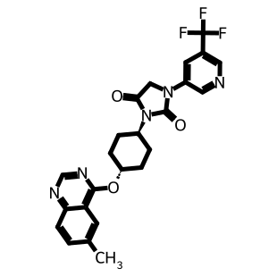 Cc1ccc2ncnc(O[C@H]3CC[C@H](N4C(=O)CN(c5cncc(C(F)(F)F)c5)C4=O)CC3)c2c1